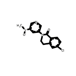 C[S+]([O-])c1cncc(N2CCc3cc(Cl)ccc3C2=O)c1